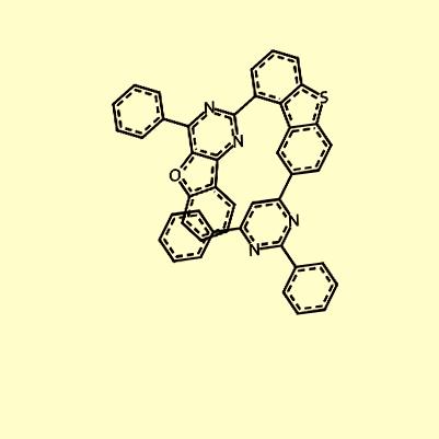 c1ccc(-c2cc(-c3ccc4sc5cccc(-c6nc(-c7ccccc7)c7oc8ccccc8c7n6)c5c4c3)nc(-c3ccccc3)n2)cc1